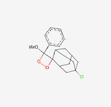 COC1(c2c[c]ccc2)OOC12C1CC3CC2CC(Cl)(C3)C1